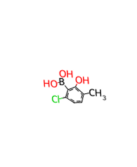 Cc1ccc(Cl)c(B(O)O)c1O